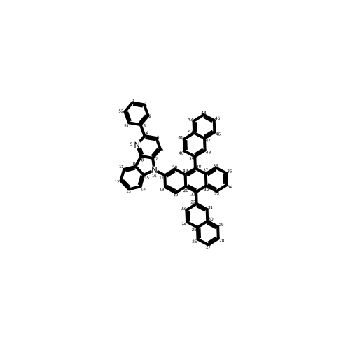 c1ccc(-c2ccc3c(n2)c2ccccc2n3-c2ccc3c(-c4ccc5ccccc5c4)c4ccccc4c(-c4ccc5ccccc5c4)c3c2)cc1